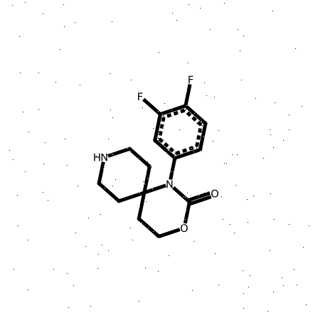 O=C1OCCC2(CCNCC2)N1c1ccc(F)c(F)c1